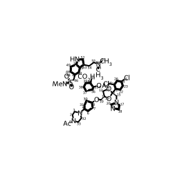 CC(=O)N1CCN(c2ccc(OC[C@H]3CO[C@](Cn4ccnc4)(c4ccc(Cl)cc4Cl)O3)cc2)CC1.CC(=O)Oc1ccccc1C(=O)O.CNS(=O)(=O)Cc1ccc2[nH]cc(CCN(C)C)c2c1